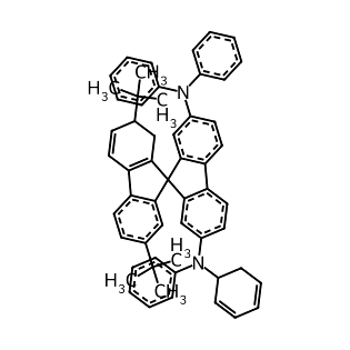 CC(C)(C)c1ccc2c(c1)C1(C3=C2C=CC(C(C)(C)C)C3)c2cc(N(c3ccccc3)c3ccccc3)ccc2-c2ccc(N(c3ccccc3)C3C=CC=CC3)cc21